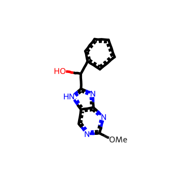 COc1ncc2[nH]c(C(O)c3ccccc3)nc2n1